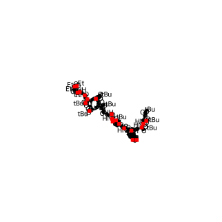 CCOP(=O)(OCC)C(NC(=O)CNC(=O)CCC(C(=O)OC(C)(C)C)N1CCN(CC(=O)OC(C)(C)C)CCN(C(CCC(=O)NCC(=O)N[C@H](Cc2ccc(OCC(=O)N[C@@H](Cc3ccc4ccccc4c3)C(=O)NCCCC[C@H](NC(=O)N[C@@H](CCC(=O)OC(C)(C)C)C(=O)OC(C)(C)C)C(=O)OC(C)(C)C)cc2)C(=O)OC(C)(C)C)C(=O)OC(C)(C)C)CCN(CC(=O)OC(C)(C)C)CC1)P(=O)(OCC)OCC